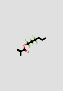 C=C(C)C(=O)OC(F)(F)C(F)(F)C(F)(F)CCC